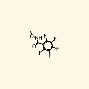 CONC(=O)c1c(F)c(F)c(F)c(F)c1F